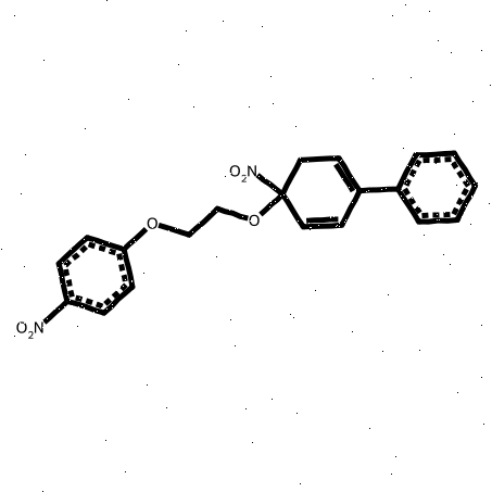 O=[N+]([O-])c1ccc(OCCOC2([N+](=O)[O-])C=CC(c3ccccc3)=CC2)cc1